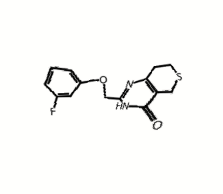 O=c1[nH]c(COc2cccc(F)c2)nc2c1CSCC2